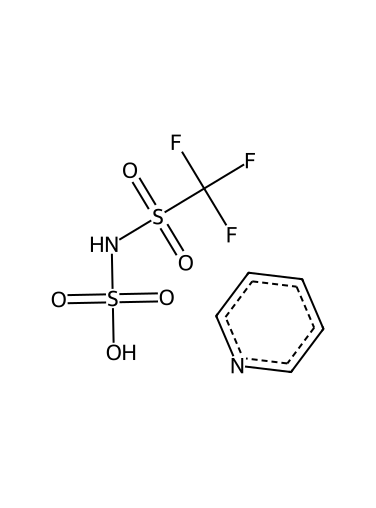 O=S(=O)(O)NS(=O)(=O)C(F)(F)F.c1ccncc1